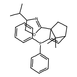 CC(C)C1COC(C23CCC(C=C2P(c2ccccc2)c2ccccc2)C3(C)C)=N1